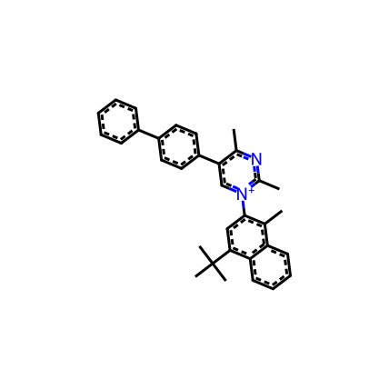 Cc1nc(C)[n+](-c2cc(C(C)(C)C)c3ccccc3c2C)cc1-c1ccc(-c2ccccc2)cc1